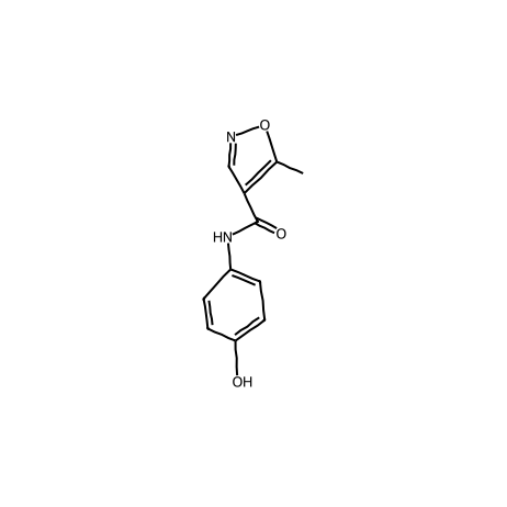 Cc1oncc1C(=O)Nc1ccc(O)cc1